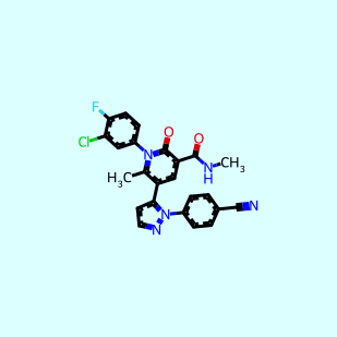 CNC(=O)c1cc(-c2ccnn2-c2ccc(C#N)cc2)c(C)n(-c2ccc(F)c(Cl)c2)c1=O